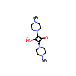 CCCN1CCN(c2c(O)c(=[N+]3CCN(CCC)CC3)c2=O)CC1.[OH-]